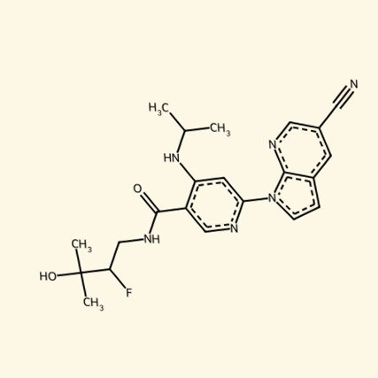 CC(C)Nc1cc(-n2ccc3cc(C#N)cnc32)ncc1C(=O)NCC(F)C(C)(C)O